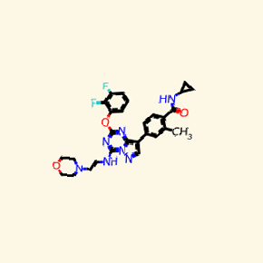 Cc1cc(-c2cnn3c(NCCN4CCOCC4)nc(Oc4cccc(F)c4F)nc23)ccc1C(=O)NC1CC1